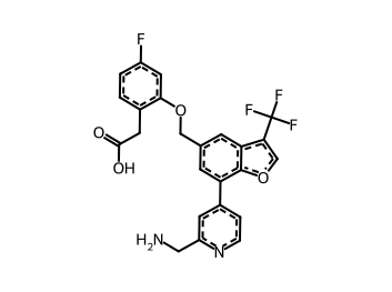 NCc1cc(-c2cc(COc3cc(F)ccc3CC(=O)O)cc3c(C(F)(F)F)coc23)ccn1